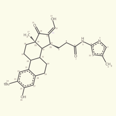 Cc1cnc(NC(=O)CC[C@@H]2/C(=C/O)C(=O)[C@@]3(C)CCC4c5cc(C(C)(C)C)c(O)cc5CCC4C23)s1